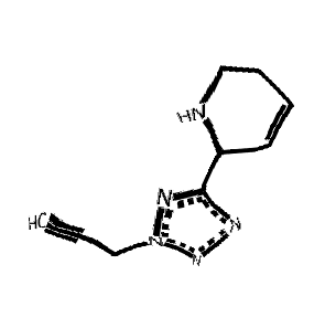 C#CCn1nnc(C2C=CCCN2)n1